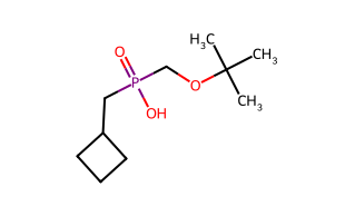 CC(C)(C)OCP(=O)(O)CC1CCC1